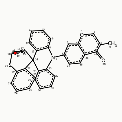 Cc1coc2cc(N3c4ccccc4C4(c5ccccc5Sc5ccccc54)c4ccccc43)ccc2c1=O